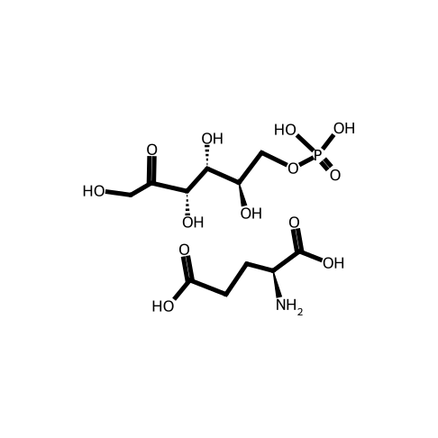 N[C@@H](CCC(=O)O)C(=O)O.O=C(CO)[C@@H](O)[C@H](O)[C@H](O)COP(=O)(O)O